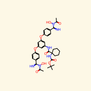 CC(=O)N(O)C(=N)c1ccc(Oc2cc(NC(=O)C3(NC(=O)OC(C)(C)C)CCCCC3)cc(Oc3ccc(C(=N)N(O)C(C)=O)cc3)c2)cc1